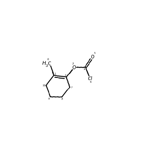 CC1=C(OC(=O)Cl)CCCC1